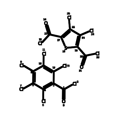 O=C(Cl)c1c(Cl)c(Cl)c(Cl)c(Cl)c1Cl.O=C(Cl)c1sc(C(=O)Cl)c(Cl)c1Cl